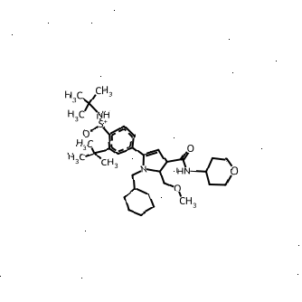 COCC1C(C(=O)NC2CCOCC2)C=C(c2ccc([S+]([O-])NC(C)(C)C)c(C(C)(C)C)c2)N1CC1CCCCC1